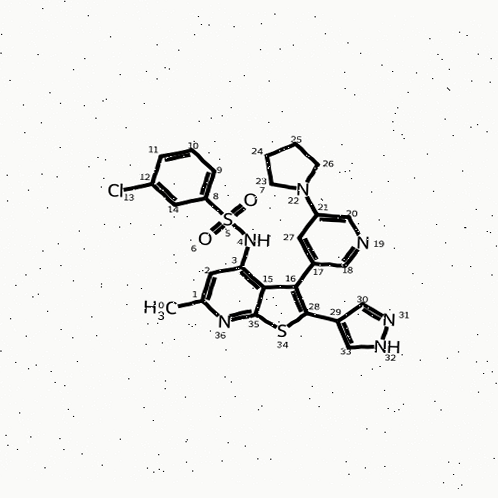 Cc1cc(NS(=O)(=O)c2cccc(Cl)c2)c2c(-c3cncc(N4CCCC4)c3)c(-c3cn[nH]c3)sc2n1